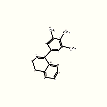 COc1cc(C2=NCCc3ccccc32)cc([N+](=O)[O-])c1OC